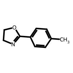 Cc1ccc(C2=NCCO2)cc1